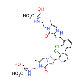 Cc1cn2nc(-c3cccc(-c4cccc(-c5cc6c(=O)n(CCN[C@@H](CO)C(=O)O)c(C)cn6n5)c4Cl)c3Cl)cc2c(=O)n1CCN[C@@H](CO)C(=O)O